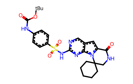 CC(C)(C)OC(=O)Nc1ccc(S(=O)(=O)Nc2ncc3cc4n(c3n2)C2(CCCCC2)CNC4=O)cc1